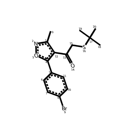 Cc1noc(-c2ccc(Br)cc2)c1C(=O)CSC(C)(C)C